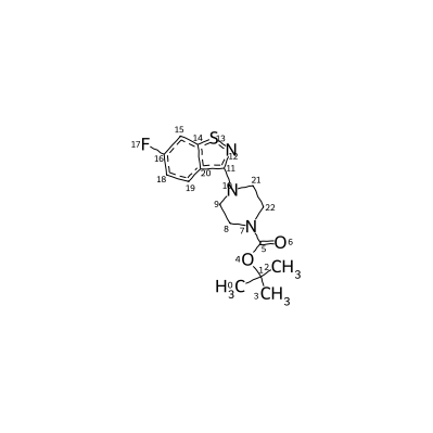 CC(C)(C)OC(=O)N1CCN(c2nsc3cc(F)ccc23)CC1